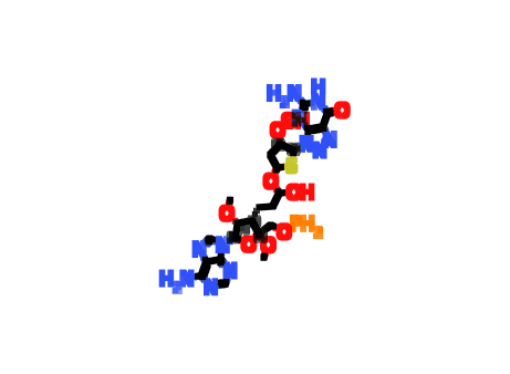 CO[C@H]1[C@H](n2cnc3c(N)ncnc32)O[C@@](COP)(OC)[C@H]1CCC(O)OC1C[C@@H](OO)[C@H](n2nnc3c(=O)[nH]c(N)nc32)S1